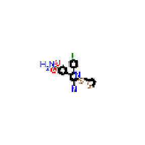 N#Cc1cc(-c2ccc(S(N)(=O)=O)cc2)c(-c2ccc(F)cc2)nc1SCc1cccs1